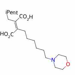 CCCC(C)C/C(C(=O)O)=C(/CCCCCCN1CCOCC1)C(=O)O